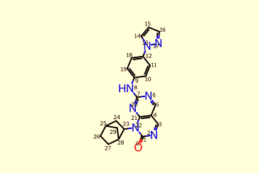 O=c1ncc2cnc(Nc3ccc(-n4cccn4)cc3)nc2n1C1CC2CCC1C2